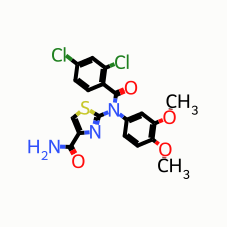 COc1ccc(N(C(=O)c2ccc(Cl)cc2Cl)c2nc(C(N)=O)cs2)cc1OC